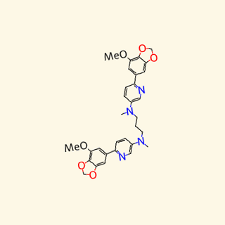 COc1cc(-c2ccc(N(C)CCCN(C)c3ccc(-c4cc(OC)c5c(c4)OCO5)nc3)cn2)cc2c1OCO2